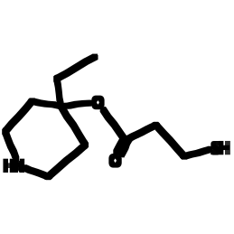 CCC1(OC(=O)CCS)CCNCC1